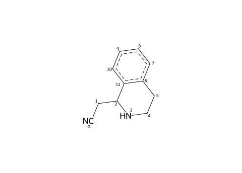 N#CCC1NCCc2ccccc21